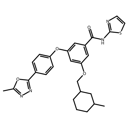 Cc1nnc(-c2ccc(Oc3cc(OCC4CCCC(C)C4)cc(C(=O)Nc4nccs4)c3)cc2)o1